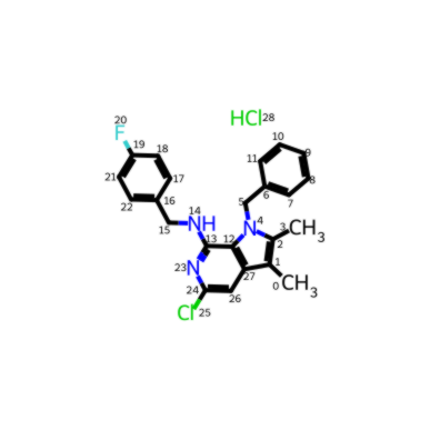 Cc1c(C)n(Cc2ccccc2)c2c(NCc3ccc(F)cc3)nc(Cl)cc12.Cl